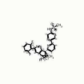 CC1(C)[C@H]2CC[C@]1(c1cccc(-c3cnc(NS(C)(=O)=O)cn3)n1)c1nnc(-c3c(F)cccc3F)cc12